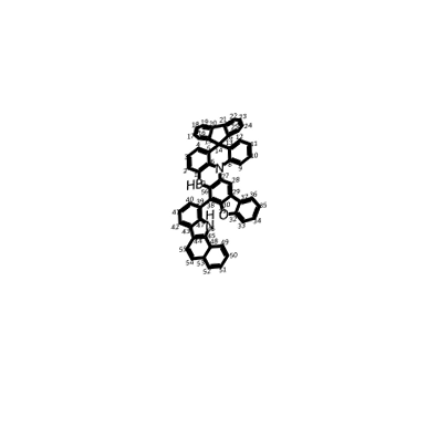 B1c2cccc3c2N(c2ccccc2C32c3ccccc3-c3ccccc32)c2cc3c(oc4ccccc43)c(-c3cccc4c5c([nH]c34)C3C=CC=CC3C=C5)c21